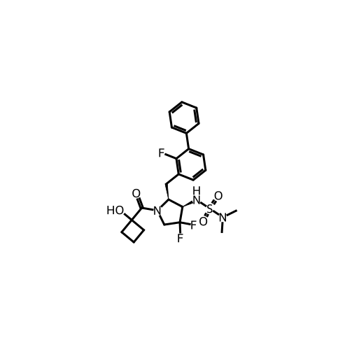 CN(C)S(=O)(=O)N[C@@H]1[C@H](Cc2cccc(-c3ccccc3)c2F)N(C(=O)C2(O)CCC2)CC1(F)F